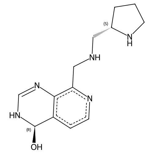 O[C@H]1NC=Nc2c1ccnc2CNC[C@@H]1CCCN1